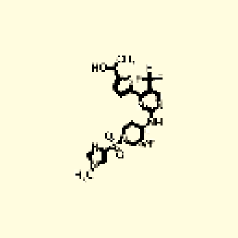 CC(O)c1ccc(-c2nc(N[C@@H]3CCN(S(=O)(=O)c4cn(C)cn4)C[C@H]3F)ncc2C(F)(F)F)s1